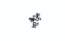 COc1cc(-c2nn[nH]c2-c2ccc(SC)c(OP(=O)([O-])[O-])c2)cc2c1OCO2.[Na+].[Na+]